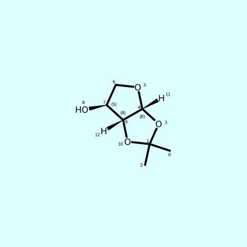 CC1(C)O[C@H]2OC[C@H](O)[C@H]2O1